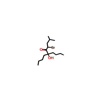 CCCCC(O)(CCCC)C(=O)C(Br)CC(C)C